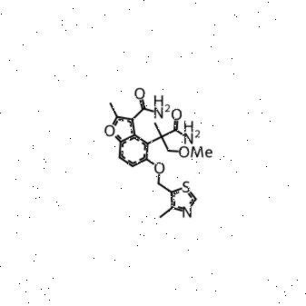 COCC(C)(C(N)=O)c1c(OCc2scnc2C)ccc2oc(C)c(C(N)=O)c12